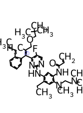 C=CC(=O)Nc1cc(Nc2ncc(F)c(/C(=C(/C)COCC(C)(C)C)c3ccccc3CCC)n2)c(CC)cc1N(C)CCN(C)C